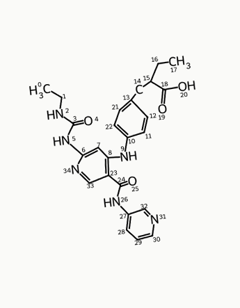 CCNC(=O)Nc1cc(Nc2ccc(CC(CC)C(=O)O)cc2)c(C(=O)Nc2cccnc2)cn1